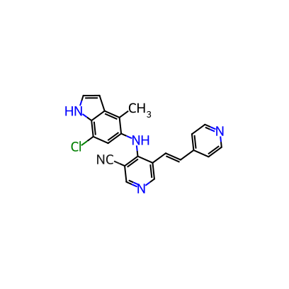 Cc1c(Nc2c(C#N)cncc2C=Cc2ccncc2)cc(Cl)c2[nH]ccc12